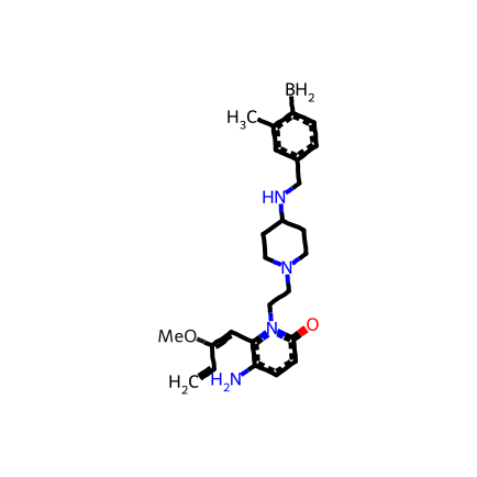 Bc1ccc(CNC2CCN(CCn3c(/C=C(\C=C)OC)c(N)ccc3=O)CC2)cc1C